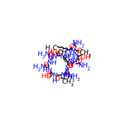 CCCCCCCC(=O)N[C@@H](CCN)C(=O)N[C@H](C(=O)N[C@H](CCN)C(=O)N[C@H]1CCNC(=O)[C@H]([C@@H](C)O)NC(=O)[C@H](CCN)NC(=O)[C@H](CCN)NC(=O)[C@H](CO)NC(=O)[C@@H](CC(C)C)NC(=O)[C@H](CCN)NC1=O)[C@@H](C)O